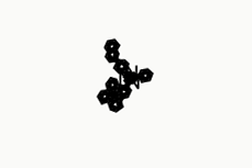 c1ccc(-c2nc(-c3ccc(-c4ccc5ccccc5c4)cc3)nc(-c3ccc4c(c3)[Si](c3ccccc3)(c3ccccc3)c3ccccc3-4)n2)cc1